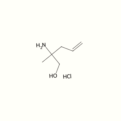 C=CCC(C)(N)CO.Cl